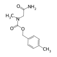 Cc1ccc(COC(=O)N(C)CC(N)=O)cc1